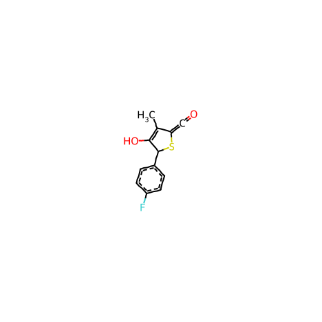 CC1=C(O)C(c2ccc(F)cc2)SC1=C=O